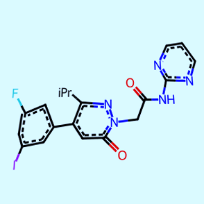 CC(C)c1nn(CC(=O)Nc2ncccn2)c(=O)cc1-c1cc(F)cc(I)c1